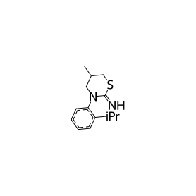 CC1CSC(=N)N(c2ccccc2C(C)C)C1